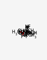 CC1CN(c2nc(OC[C@@]34CCCN3C[C@H](F)C4)nc3cc(-c4ccc(F)c5sc(NC(=O)OC(C)(C)C)c(C#N)c45)c(C(F)(F)F)nc23)C(C)CN1C(=O)O